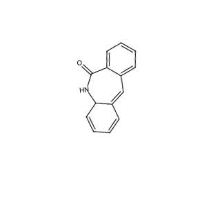 O=C1NC2C=CC=CC2=Cc2ccccc21